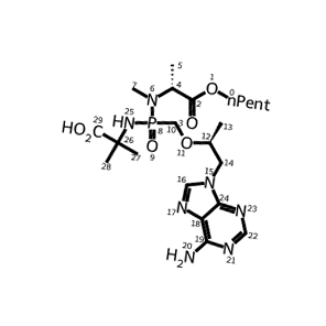 CCCCCOC(=O)[C@@H](C)N(C)P(=O)(CO[C@@H](C)Cn1cnc2c(N)ncnc21)NC(C)(C)C(=O)O